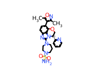 Cc1noc(C)c1-c1ccc2nc(N3CCCN(S(N)(=O)=O)CC3)n3c2c1OC[C@@H]3c1ccccn1